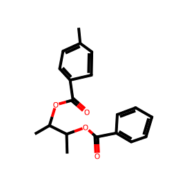 Cc1ccc(C(=O)OC(C)C(C)OC(=O)c2ccccc2)cc1